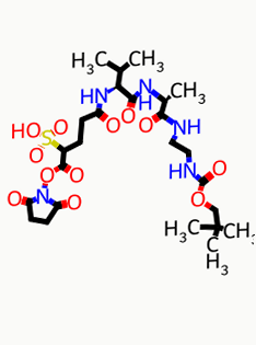 CC(C)[C@H](NC(=O)CCC(C(=O)ON1C(=O)CCC1=O)S(=O)(=O)O)C(=O)N[C@@H](C)C(=O)NCCNC(=O)OCC(C)(C)C